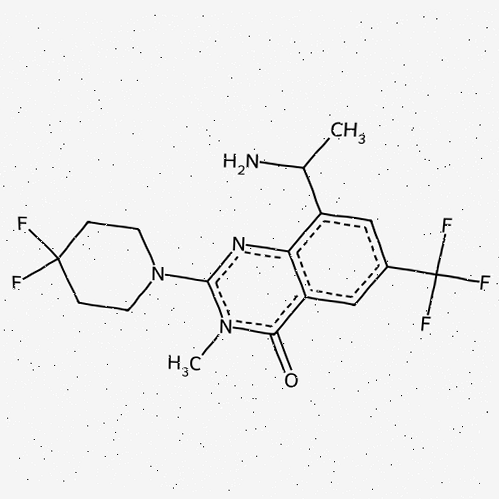 CC(N)c1cc(C(F)(F)F)cc2c(=O)n(C)c(N3CCC(F)(F)CC3)nc12